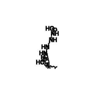 CC(C)CCC[C@@H](C)[C@H]1CCC2C3C(CC[C@@]21C)[C@@]1(C)CC[C@H](NCCCNCCCCNCCCNCc2ccccc2O)C[C@H]1C[C@H]3O